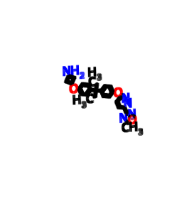 CCC(CC)(c1ccc(Oc2ccc(-c3noc(C)n3)nn2)cc1)c1ccc(OC2CC(N)C2)cc1